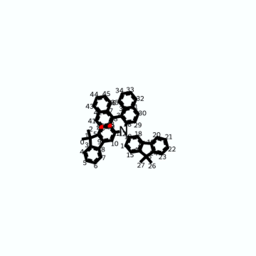 CC1(C)c2ccccc2-c2cc(N(c3ccc4c(c3)-c3ccccc3C4(C)C)c3ccc4ccccc4c3-c3cccc4ccccc34)ccc21